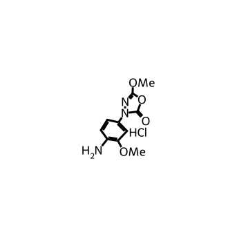 COc1nn(-c2ccc(N)c(OC)c2)c(=O)o1.Cl